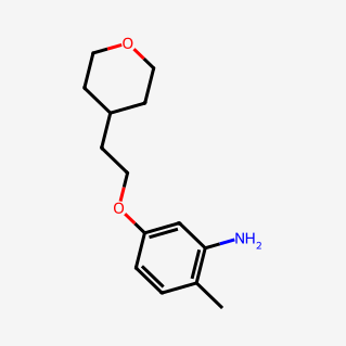 Cc1ccc(OCCC2CCOCC2)cc1N